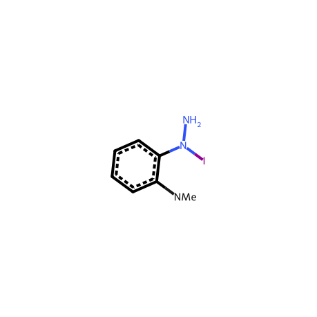 CNc1ccccc1N(N)I